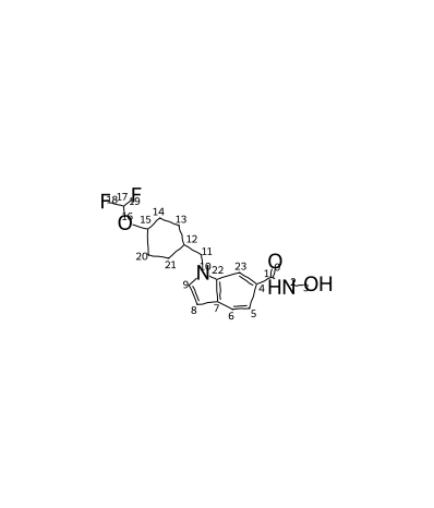 O=C(NO)c1ccc2ccn(CC3CCC(OC(F)F)CC3)c2c1